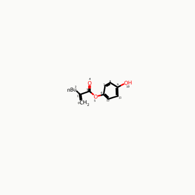 C=C(CCCC)C(=O)Oc1ccc(O)cc1